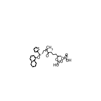 CN(CC[C@H](Oc1cccc2ccccc12)c1cccs1)C(=O)CCC[C@@H](CO[N+](=O)O)O[N+](=O)O